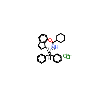 O=C([NH][Zr+2]([CH]1C=Cc2ccccc21)[SiH](c1ccccc1)c1ccccc1)C1CCCCC1.[Cl-].[Cl-]